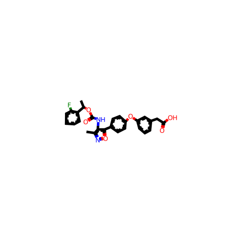 Cc1noc(-c2ccc(Oc3cccc(CC(=O)O)c3)cc2)c1NC(=O)OC(C)c1ccccc1F